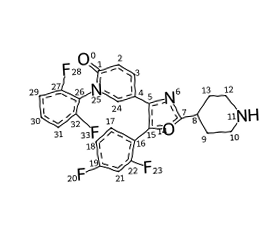 O=c1ccc(-c2nc(C3CCNCC3)oc2-c2ccc(F)cc2F)cn1-c1c(F)cccc1F